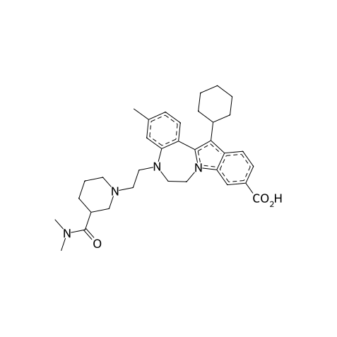 Cc1ccc2c(c1)N(CCN1CCCC(C(=O)N(C)C)C1)CCn1c-2c(C2CCCCC2)c2ccc(C(=O)O)cc21